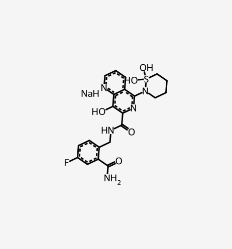 NC(=O)c1cc(F)ccc1CNC(=O)c1nc(N2CCCCS2(O)O)c2cccnc2c1O.[NaH]